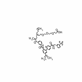 CCN(CC)c1ccc(NC(=O)c2cccc(C(=O)N(C)CCN(CCOC)CCOCCOCCOCCC(=O)O)c2)c(-c2ccc(C(=O)NCc3cccc(C(F)(F)F)c3)cn2)c1